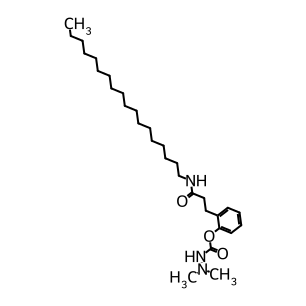 CCCCCCCCCCCCCCCCCCNC(=O)CCc1ccccc1OC(=O)NN(C)C